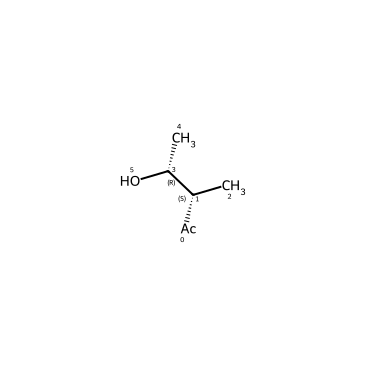 CC(=O)[C@@H](C)[C@@H](C)O